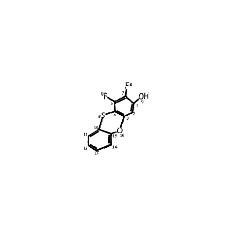 Oc1cc2c(c(F)c1F)Sc1ccccc1O2